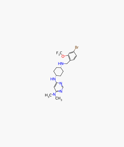 CN(C)c1cc(N[C@H]2CC[C@@H](NCc3ccc(Br)cc3OC(F)(F)F)CC2)ncn1